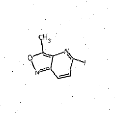 Cc1onc2ccc(I)nc12